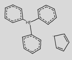 [CH]1C=CC=C1.c1cc[c]([Hf]([c]2ccccc2)[c]2ccccc2)cc1